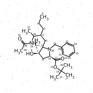 CCCC(C[C@]1(C)[C@H](O)C[C@H](C(=O)OC(C)(C)C)N1Cc1ccccc1)C(C)NC(C)=O